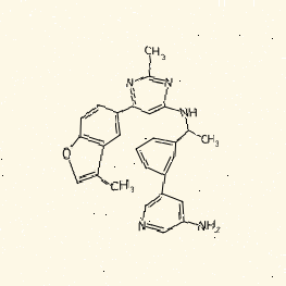 Cc1nc(NC(C)c2cccc(-c3cncc(N)c3)c2)cc(-c2ccc3occ(C)c3c2)n1